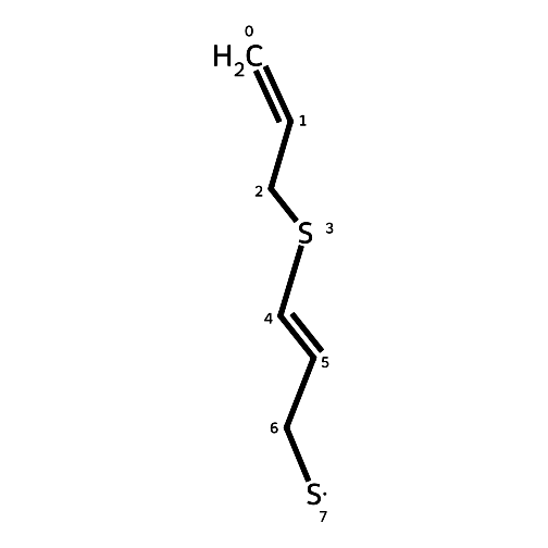 C=CCSC=CC[S]